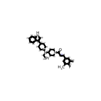 Cc1cc(/C=C/C(=O)N2CCC(N(CC(C)C)N3CCC(c4c[nH]c5ccccc45)CC3)CC2)cc(F)c1F